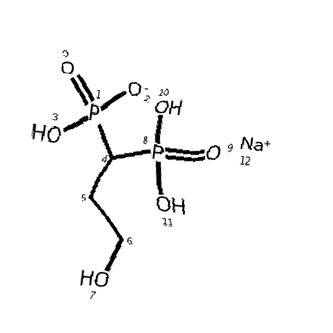 O=P([O-])(O)C(CCO)P(=O)(O)O.[Na+]